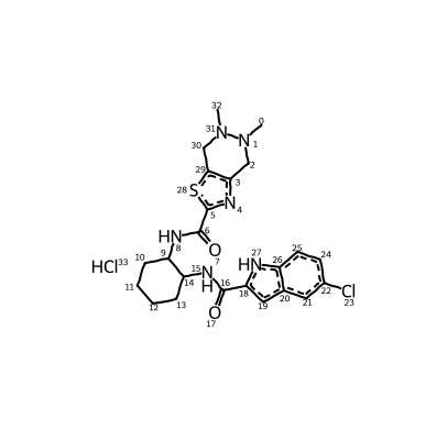 CN1Cc2nc(C(=O)NC3CCCCC3NC(=O)c3cc4cc(Cl)ccc4[nH]3)sc2CN1C.Cl